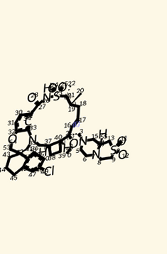 CO[C@]1(CN2CCN3CCS(=O)(=O)C[C@H]3C2)/C=C/C[C@H](C)[C@@H](C)S(=O)(=O)NC(=O)c2ccc3c(c2)N(C[C@@H]2CC[C@H]21)C[C@@]1(CCCc2cc(Cl)ccc21)CO3